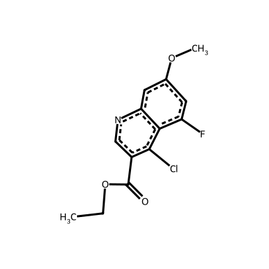 CCOC(=O)c1cnc2cc(OC)cc(F)c2c1Cl